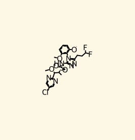 COc1cccc(OC)c1-n1c(CCC(F)F)nnc1NS(=O)(=O)C(C)C(OC)c1ncc(Cl)cn1